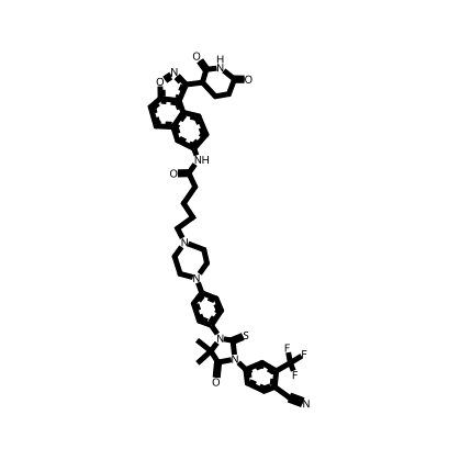 CC1(C)C(=O)N(c2ccc(C#N)c(C(F)(F)F)c2)C(=S)N1c1ccc(N2CCN(CCCCC(=O)Nc3ccc4c(ccc5onc(C6CCC(=O)NC6=O)c54)c3)CC2)cc1